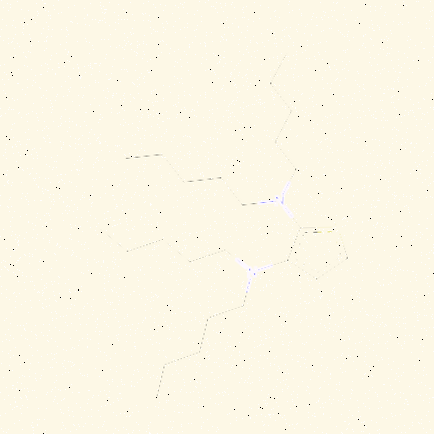 CCCCCN(CCCCC)c1ccsc1N(CCCCC)CCCCC